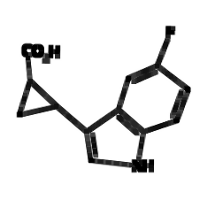 O=C(O)C1CC1c1c[nH]c2ccc(F)cc12